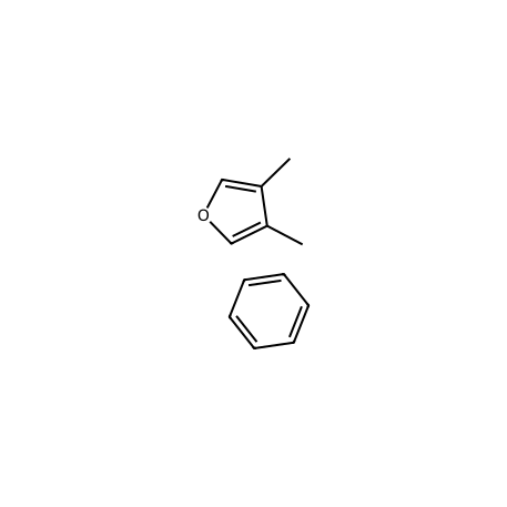 Cc1cocc1C.c1ccccc1